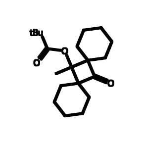 CC(C)(C)C(=O)OC1(C)C2(CCCCC2)C(=O)C12CCCCC2